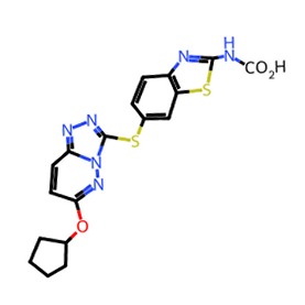 O=C(O)Nc1nc2ccc(Sc3nnc4ccc(OC5CCCC5)nn34)cc2s1